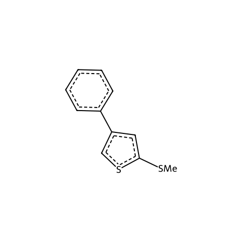 CSc1cc(-c2ccccc2)cs1